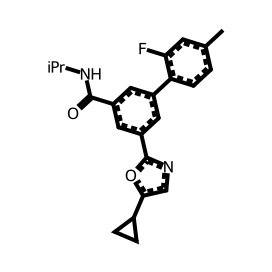 Cc1ccc(-c2cc(C(=O)NC(C)C)cc(-c3ncc(C4CC4)o3)c2)c(F)c1